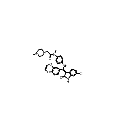 CN1CCN(CC(=O)N(C)c2ccc(NC(=C3C(=O)Nc4cc(Cl)ccc43)c3ccc4c(c3)OC=CO4)cc2)CC1